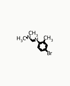 Cc1cc(Br)ccc1N=CN(C)C